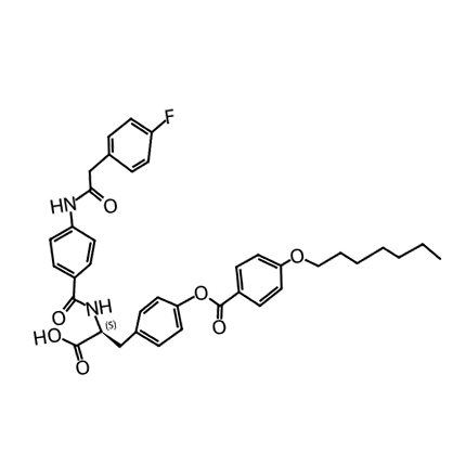 CCCCCCCOc1ccc(C(=O)Oc2ccc(C[C@H](NC(=O)c3ccc(NC(=O)Cc4ccc(F)cc4)cc3)C(=O)O)cc2)cc1